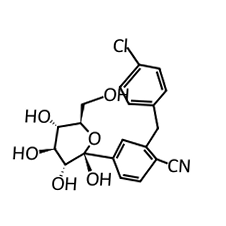 N#Cc1ccc([C@@]2(O)O[C@H](CO)[C@@H](O)[C@H](O)[C@H]2O)cc1Cc1ccc(Cl)cc1